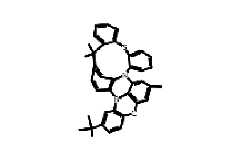 Cc1cc2c3c(c1)N1c4ccccc4Sc4ccccc4C(C)(C)c4ccc(c1c4)B3c1cc(C(C)(C)C)ccc1O2